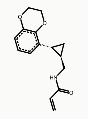 C=CC(=O)NC[C@@H]1C[C@H]1c1cccc2c1OCCO2